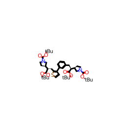 CC(C)(C)OC(=O)[C@@H](Cc1cccc(-c2ccsc2C[C@H](C(=O)OC(C)(C)C)[C@H]2CCN(C(=O)OC(C)(C)C)C2)c1)[C@H]1CCN(C(=O)OC(C)(C)C)C1